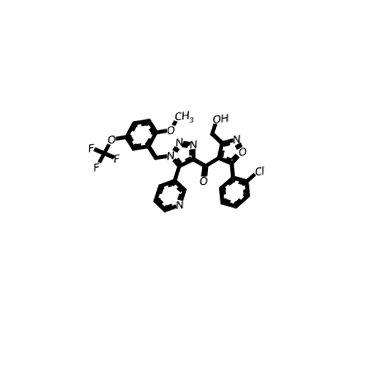 COc1ccc(OC(F)(F)F)cc1Cn1nnc(C(=O)c2c(CO)noc2-c2ccccc2Cl)c1-c1cccnc1